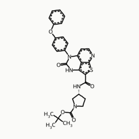 CC(C)(C)OC(=O)N1CC[C@@H](NC(=O)c2sc3nccc4c3c2NC(=O)N4c2ccc(Oc3ccccc3)cc2)C1